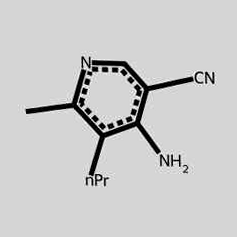 CCCc1c(C)ncc(C#N)c1N